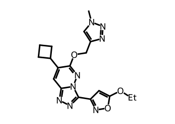 CCOc1cc(-c2nnc3cc(C4CCC4)c(OCc4cn(C)nn4)nn23)no1